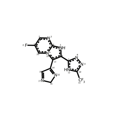 Fc1cnc2[nH]c(-c3nnc(C(F)(F)F)[nH]3)c(C3=NCN=C3)[n+]2c1